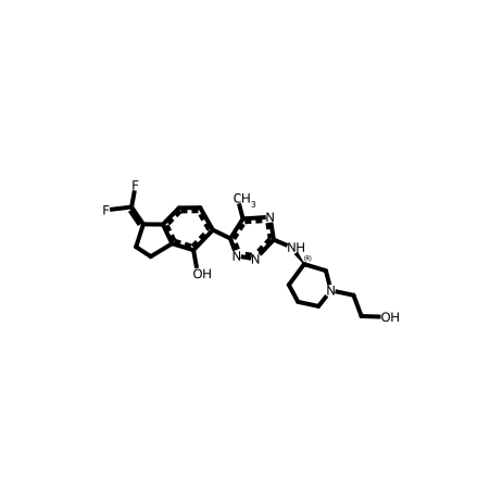 Cc1nc(N[C@@H]2CCCN(CCO)C2)nnc1-c1ccc2c(c1O)CCC2=C(F)F